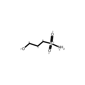 NS(=O)(=O)CCC[O]